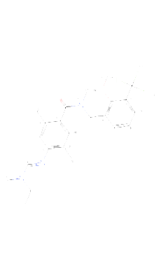 CCN(C)/C=N/c1cc(C)c(C(=O)N(C)Cc2cccc(C(F)(F)F)c2OC)cc1C